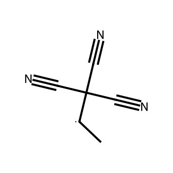 C[CH]C(C#N)(C#N)C#N